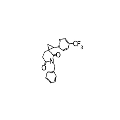 O=C1CCC2(CC2c2ccc(C(F)(F)F)cc2)C(=O)N1Cc1ccccc1